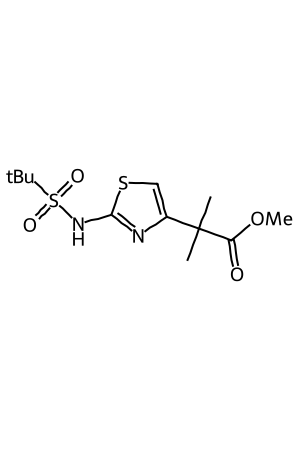 COC(=O)C(C)(C)c1csc(NS(=O)(=O)C(C)(C)C)n1